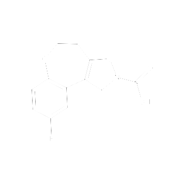 O=C(O)N1CC2=C(CCOc3ccc(F)cc32)S1